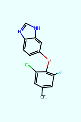 Fc1cc(C(F)(F)F)cc(Cl)c1Oc1ccc2n[c][nH]c2c1